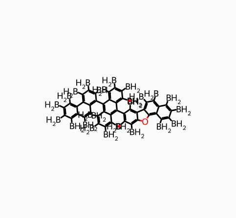 Bc1c(-c2c3c(B)c(B)c(B)c(B)c3c(-c3c(B)c(B)c(B)c4c3c(B)c(B)c3c(B)c(B)c(B)c(B)c34)c3c(B)c(B)c(B)c(B)c23)c(B)c2c(oc3c4c(B)c(B)c(B)c(B)c4c(B)c(B)c32)c1B